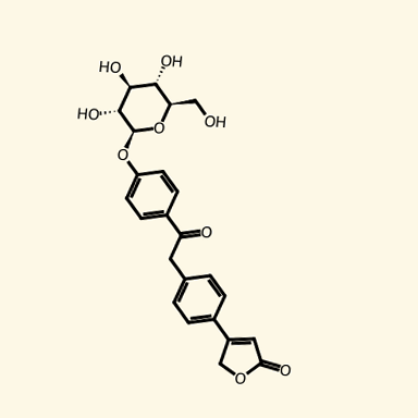 O=C1C=C(c2ccc(CC(=O)c3ccc(O[C@@H]4O[C@H](CO)[C@@H](O)[C@H](O)[C@H]4O)cc3)cc2)CO1